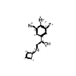 Nc1c(F)cc(C(O)CNC2CCC2)cc1Br